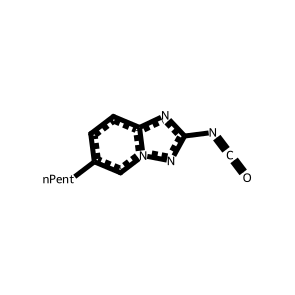 CCCCCc1ccc2nc(N=C=O)nn2c1